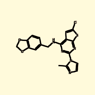 Cc1nccn1-c1nc(NCc2ccc3c(c2)OCO3)c2cc(Cl)sc2n1